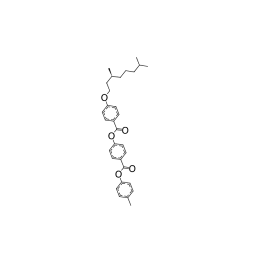 Cc1ccc(OC(=O)c2ccc(OC(=O)c3ccc(OCC[C@@H](C)CCCC(C)C)cc3)cc2)cc1